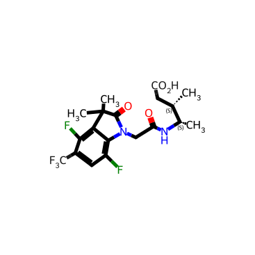 C[C@H](NC(=O)CN1C(=O)C(C)(C)c2c(F)c(C(F)(F)F)cc(F)c21)[C@@H](C)CC(=O)O